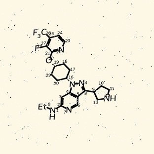 CCNc1cc2c(cn1)c(C1CCNC1)nn2[C@H]1CC[C@@H](Oc2nccc(C(F)(F)F)c2F)CC1